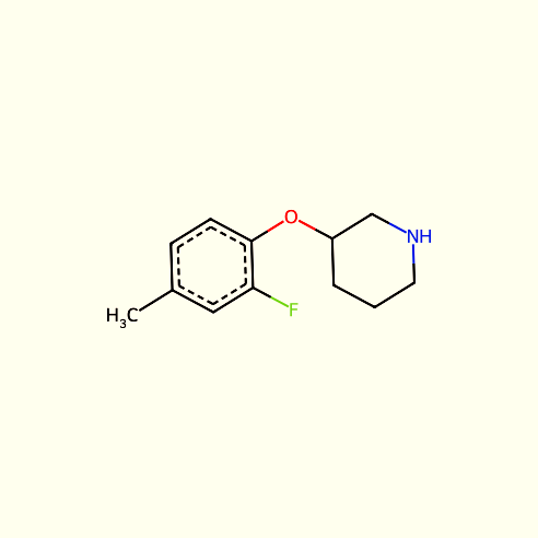 Cc1ccc(OC2CCCNC2)c(F)c1